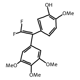 COc1ccc(C(=C(F)F)c2cc(OC)c(OC)c(OC)c2)cc1O